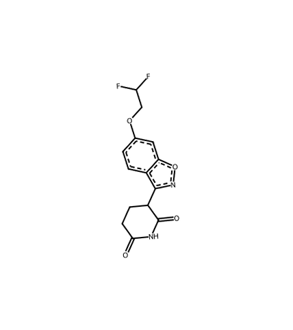 O=C1CCC(c2noc3cc(OCC(F)F)ccc23)C(=O)N1